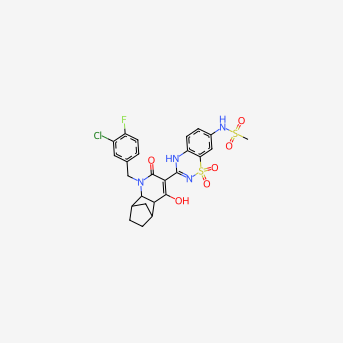 CS(=O)(=O)Nc1ccc2c(c1)S(=O)(=O)N=C(C1=C(O)C3C4CCC(C4)C3N(Cc3ccc(F)c(Cl)c3)C1=O)N2